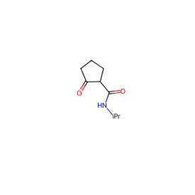 CC(C)NC(=O)C1CCCC1=O